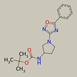 CC(C)(C)OC(=O)NC1CCN(c2noc(-c3ccccc3)n2)C1